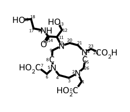 O=C(O)CN1CCN(CC(=O)O)CCN(C(CO)C(=O)NCCO)CCN(CC(=O)O)CC1